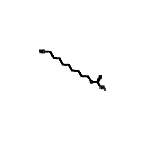 N#CCCCCCCCCCOC(N)=O